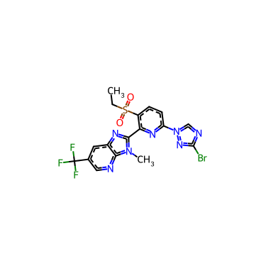 CCS(=O)(=O)c1ccc(-n2cnc(Br)n2)nc1-c1nc2cc(C(F)(F)F)cnc2n1C